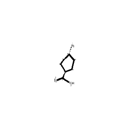 CCC(O)[C@H]1CC[C@H](C(C)C)CC1